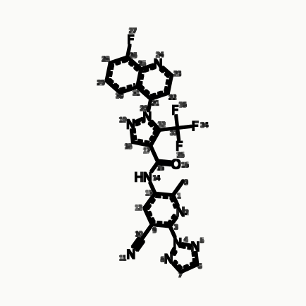 Cc1nc(-n2nccn2)c(C#N)cc1NC(=O)c1cnn(-c2ccnc3c(F)cccc23)c1C(F)(F)F